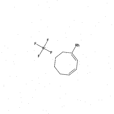 F[B-](F)(F)F.[Rh][C]1=CC=CCCCC1